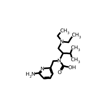 CCN(CC)CC(C(C)C)N(Cc1cccc(N)n1)C(=O)O